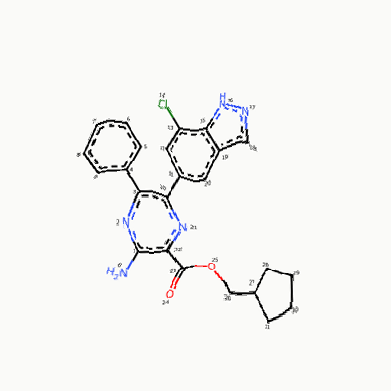 Nc1nc(-c2ccccc2)c(-c2cc(Cl)c3[nH]ncc3c2)nc1C(=O)OCC1CCCC1